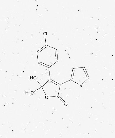 CC1(O)OC(=O)C(c2cccs2)=C1c1ccc(Cl)cc1